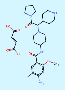 COc1cc(N)c(I)cc1C(=O)NC1CCN(C(C(=O)N2CCCC2)C2CCNCC2)CC1.O=C(O)C=CC(=O)O